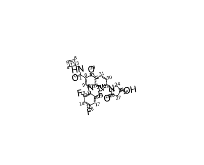 O=C(NC12CC(C1)C2)c1cn(-c2c(F)cc(F)cc2F)c2nc(N3C[C@@H](O)CC3=O)ccc2c1=O